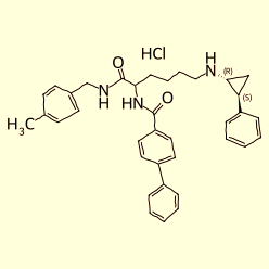 Cc1ccc(CNC(=O)C(CCCCN[C@@H]2C[C@H]2c2ccccc2)NC(=O)c2ccc(-c3ccccc3)cc2)cc1.Cl